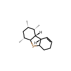 C[C@@H]1[C@H]2C(SC3CCC=C[C@H]32)[C@H](C)C[C@@H]1C